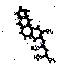 CC1=C(/C=C(\C)CC(C)C)CN2CCc3cc4ccoc4cc3C2C1